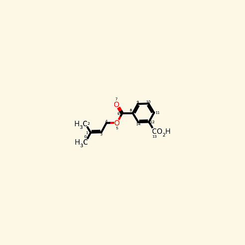 CC(C)=CCOC(=O)c1cccc(C(=O)O)c1